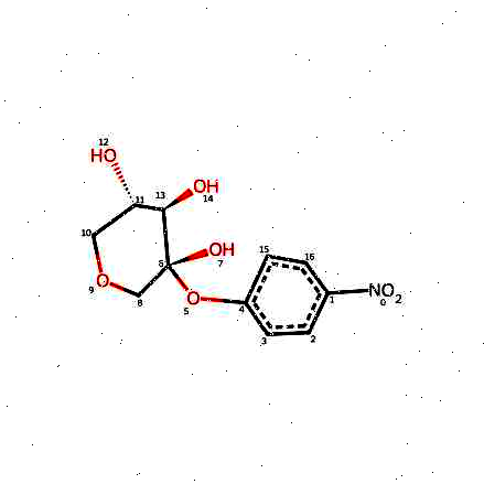 O=[N+]([O-])c1ccc(O[C@]2(O)COC[C@H](O)[C@H]2O)cc1